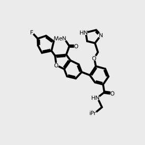 CNC(=O)c1c(-c2ccc(F)cc2)oc2ccc(-c3cc(C(=O)NCC(C)C)ccc3OCC3CNC=N3)cc12